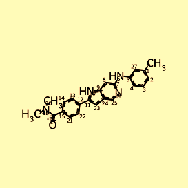 Cc1cccc(Nc2cc3[nH]c(-c4ccc(C(=O)N(C)C)cc4)cc3cn2)c1